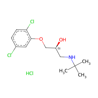 CC(C)(C)NC[C@H](O)COc1cc(Cl)ccc1Cl.Cl